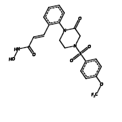 O=C(C=Cc1ccccc1N1CCN(S(=O)(=O)c2ccc(OC(F)(F)F)cc2)CC1=O)NO